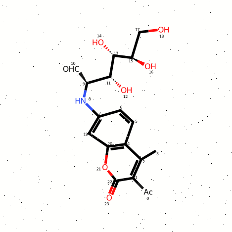 CC(=O)c1c(C)c2ccc(N[C@@H](C=O)[C@@H](O)[C@H](O)[C@H](O)CO)cc2oc1=O